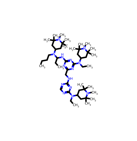 CCCCN(C1CC(C)(C)N(C)C(C)(C)C1)C(CC)Nc1nc(CNc2ncnc(N(CC)C3CC(C)(C)N(C)C(C)(C)C3)n2)nc(N(CC)C2CC(C)(C)N(C)C(C)(C)C2)n1